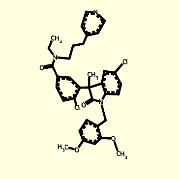 CCN(CCCc1ccncc1)C(=O)c1ccc(Cl)c(C2(C)C(=O)N(Cc3ccc(OC)cc3OC)c3ccc(Cl)cc32)c1